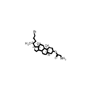 CC(C)CCC[C@@H](C)[C@H]1CCC2C3CC[C@H]4CC(OC(=O)CN)CC[C@]4(C)C3CC[C@@]21C